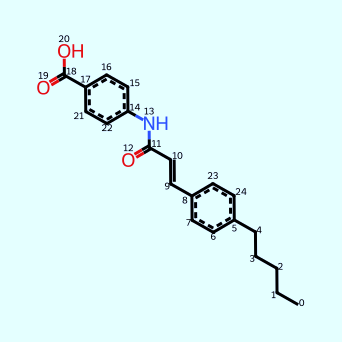 CCCCCc1ccc(C=CC(=O)Nc2ccc(C(=O)O)cc2)cc1